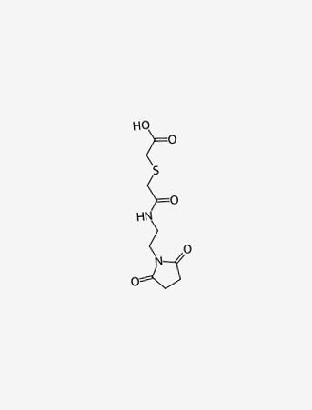 O=C(O)CSCC(=O)NCCN1C(=O)CCC1=O